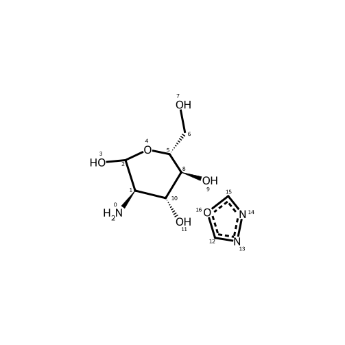 N[C@H]1C(O)O[C@H](CO)[C@@H](O)[C@@H]1O.c1nnco1